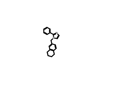 c1ccc(-c2nccn2Cc2ccc3c(c2)CCCC3)cc1